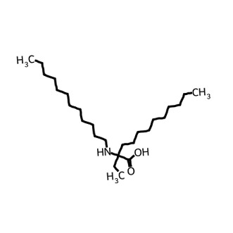 CCCCCCCCCCCCNC(CC)(CCCCCCCCCC)C(=O)O